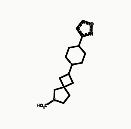 O=C(O)N1CCC2(CC(N3CCC(c4ccon4)CC3)C2)C1